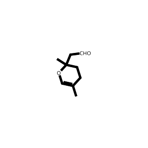 CC1=COC(C)(CC=O)CC1